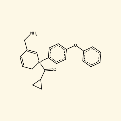 NCC1=C[N+](C(=O)C2CC2)(c2ccc(Oc3ccccc3)cc2)CC=C1